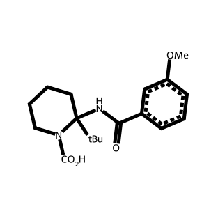 COc1cccc(C(=O)NC2(C(C)(C)C)CCCCN2C(=O)O)c1